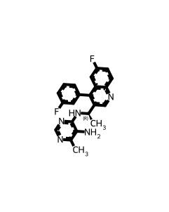 Cc1ncnc(N[C@H](C)c2cnc3ccc(F)cc3c2-c2cccc(F)c2)c1N